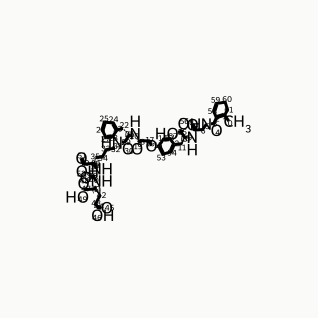 CC1=C(C(=O)NCC(=O)N[C@@H](Cc2ccc(OCC(=O)N[C@@H](Cc3ccccc3)C(=O)NCCCC[C@H](NC(=O)N[C@@H](CCC(=O)O)C(=O)O)C(=O)O)cc2)C(=O)O)C=CCC1